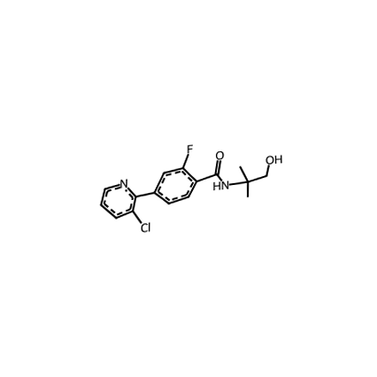 CC(C)(CO)NC(=O)c1ccc(-c2ncccc2Cl)cc1F